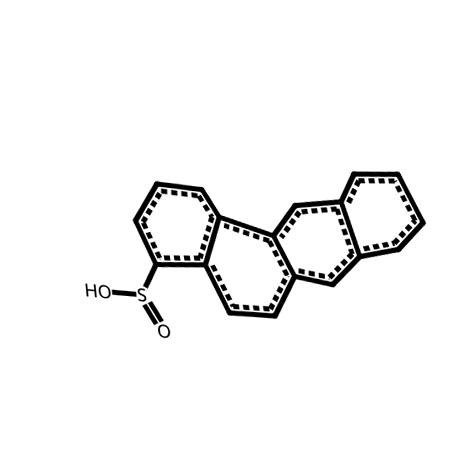 O=S(O)c1cccc2c1ccc1cc3ccccc3cc12